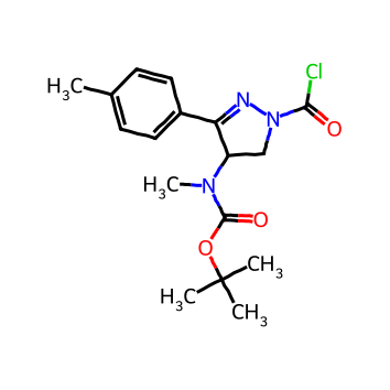 Cc1ccc(C2=NN(C(=O)Cl)CC2N(C)C(=O)OC(C)(C)C)cc1